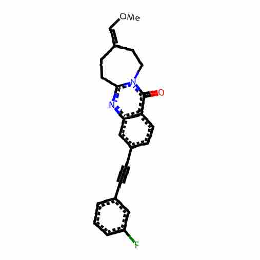 COC=C1CCc2nc3cc(C#Cc4cccc(F)c4)ccc3c(=O)n2CC1